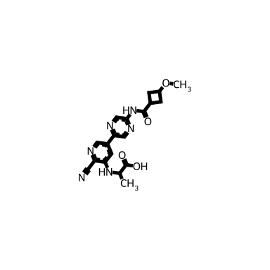 COC1CC(C(=O)Nc2cnc(-c3cnc(C#N)c(NC(C)C(=O)O)c3)cn2)C1